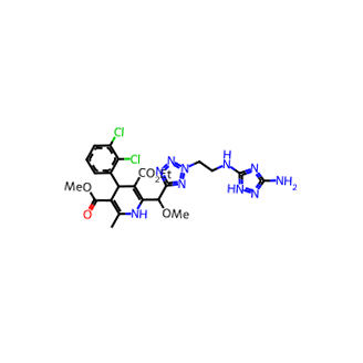 CCOC(=O)C1=C(C(OC)c2nnn(CCNc3nc(N)n[nH]3)n2)NC(C)=C(C(=O)OC)C1c1cccc(Cl)c1Cl